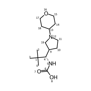 CC(C)(C)[C@@H](NC(=O)O)C1CCN(C2CCOCC2)C1